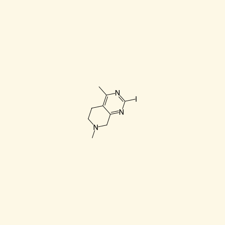 Cc1nc(I)nc2c1CCN(C)C2